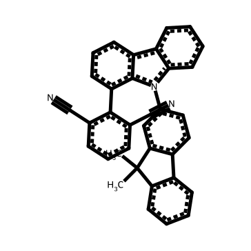 CC1(C)c2ccccc2-c2ccc(-n3c4ccccc4c4cccc(-c5c(C#N)cccc5C#N)c43)cc21